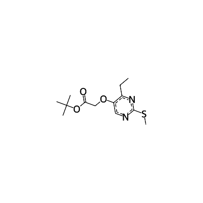 CCc1nc(SC)ncc1OCC(=O)OC(C)(C)C